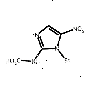 CCn1c([N+](=O)[O-])cnc1NC(=O)O